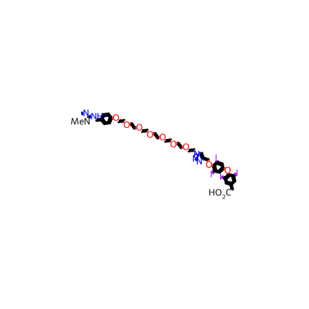 C/N=C(\NC)NCc1ccc(OCCOCCOCCOCCOCCOCCOCCn2cc(COc3c(I)cc(Oc4c(I)cc(CC(=O)O)cc4I)cc3I)nn2)cc1